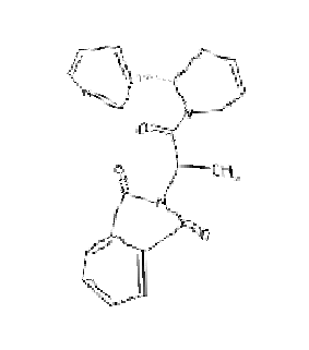 CC(C(=O)N1CC=CC[C@H]1c1cccnc1)N1C(=O)c2ccccc2C1=O